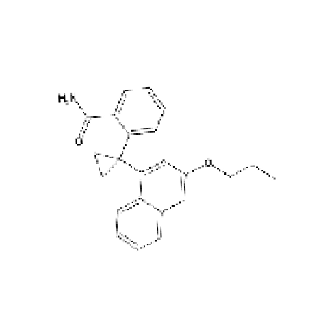 CCCOc1cc(C2(c3ccccc3C(N)=O)CC2)c2ccccc2c1